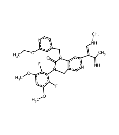 CCOc1cc(CN2C(=O)N(c3c(F)c(OC)cc(OC)c3F)Cc3cnc(/C(=C/NC)C(C)=N)cc32)ccn1